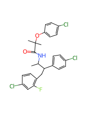 CC(NC(=O)C(C)(C)Oc1ccc(Cl)cc1)C(Cc1ccc(Cl)cc1F)c1ccc(Cl)cc1